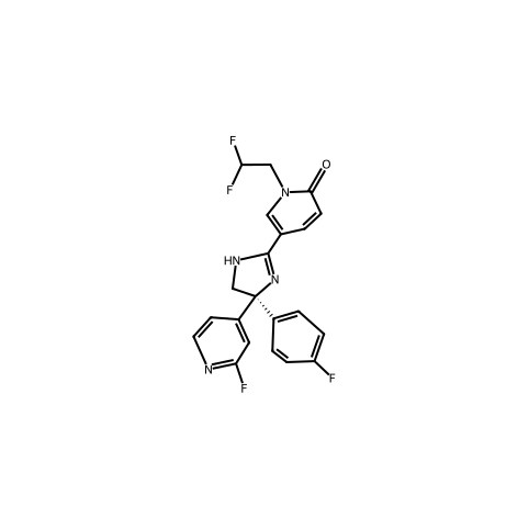 O=c1ccc(C2=N[C@@](c3ccc(F)cc3)(c3ccnc(F)c3)CN2)cn1CC(F)F